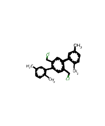 Cc1ccc(C)c(-c2cc(CCl)c(-c3cc(C)ccc3C)cc2CCl)c1